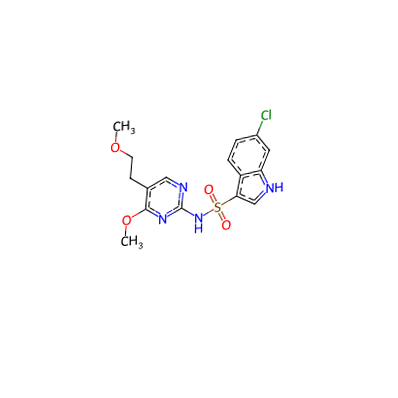 COCCc1cnc(NS(=O)(=O)c2c[nH]c3cc(Cl)ccc23)nc1OC